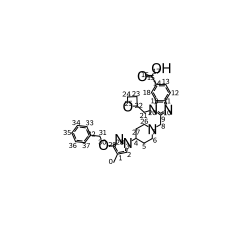 Cc1cn(C2CCN(Cc3nc4ccc(C(=O)O)cc4n3CC3CCO3)CC2)nc1OCc1ccccc1